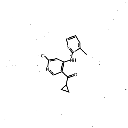 Cc1cccnc1Nc1cc(Cl)ncc1C(=O)C1CC1